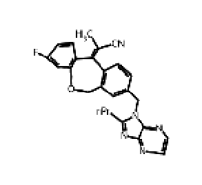 CCCc1nc2nccnc2n1Cc1ccc2c(c1)COc1cc(F)ccc1C2=C(C)C#N